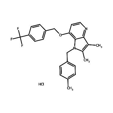 Cc1ccc(Cn2c(C)c(C)c3nccc(OCc4ccc(C(F)(F)F)cc4)c32)cc1.Cl